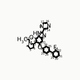 CC(=O)N1CCCC1c1cc2[nH]c(-c3cnccn3)nc2cc1Oc1ccc(-c2ccccc2F)cc1